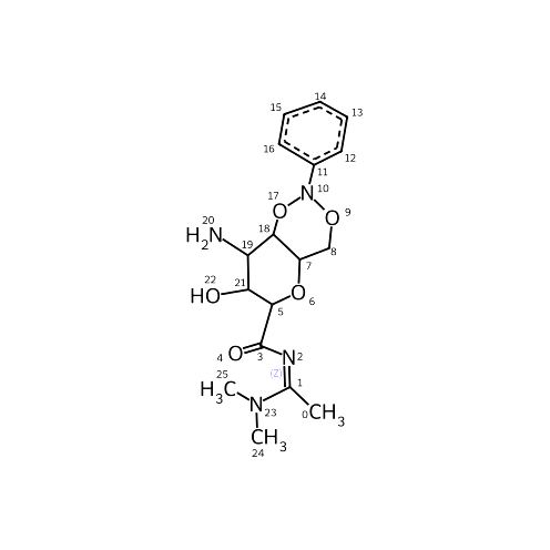 C/C(=N/C(=O)C1OC2CON(c3ccccc3)OC2C(N)C1O)N(C)C